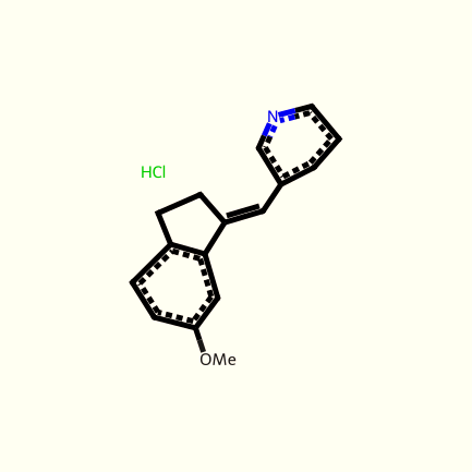 COc1ccc2c(c1)/C(=C/c1cccnc1)CC2.Cl